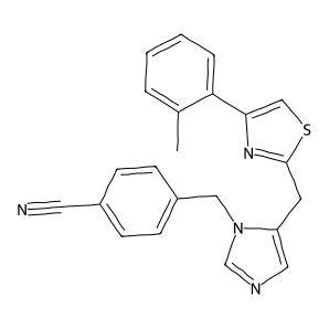 Cc1ccccc1-c1csc(Cc2cncn2Cc2ccc(C#N)cc2)n1